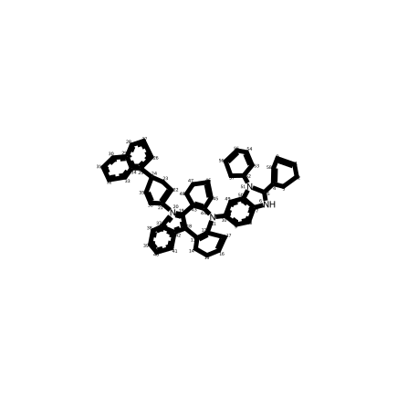 C1=CCCC(C2Nc3ccc(N4C5=C(CCC=C5)c5c(n(C6=CCC(c7cccc8ccccc78)C=C6)c6ccccc56)C5=C4C=CCC5)cc3N2C2C=CC=CC2)=C1